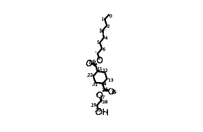 CCCCCCCCOC(=O)C1CCC(C(=O)OCCO)CC1